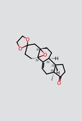 C[C@]12CC=C3[C@@H](CC[C@]45CC6(CC[C@]34O5)OCCO6)[C@@H]1CCC2=O